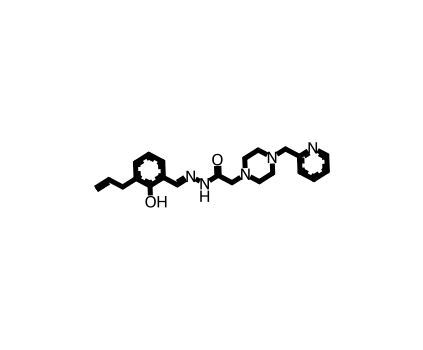 C=CCc1cccc(/C=N/NC(=O)CN2CCN(Cc3ccccn3)CC2)c1O